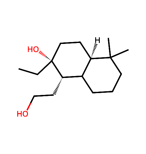 CC[C@@]1(O)CC[C@@H]2C(CCCC2(C)C)[C@@H]1CCO